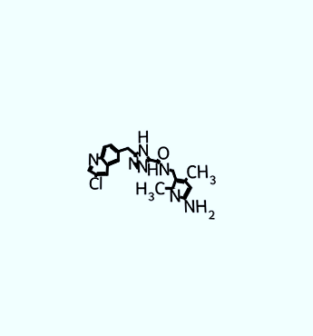 Cc1cc(N)nc(C)c1CNC(=O)c1nnc(Cc2ccc3ncc(Cl)cc3c2)[nH]1